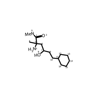 CNC(=O)C(C)(N)CC(O)CCC1CCCCC1